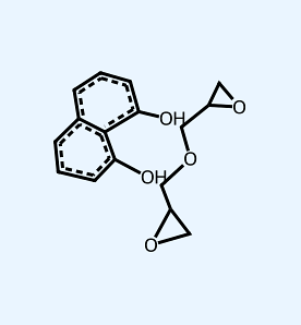 C(OCC1CO1)C1CO1.Oc1cccc2cccc(O)c12